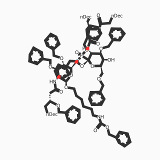 CCCCCCCCCCCC(=O)O[C@H](CCCCCCCCCCC)CC(=O)N[C@@H]1[C@@H](OCc2ccccc2)[C@@H](O)[C@@H](COCc2ccccc2)O[C@]1(OC[C@H]1O[C@@H](OCCCCCCNC(=O)OCc2ccccc2)[C@H](NC(=O)C[C@@H](CCCCCCCCCCC)OCc2ccccc2)[C@@H](OCc2ccccc2)[C@@H]1OCc1ccccc1)P(=O)(OCc1ccccc1)OCc1ccccc1